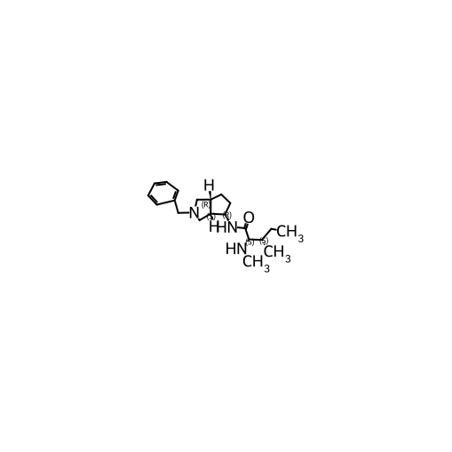 CC[C@H](C)[C@H](NC)C(=O)N[C@@H]1CC[C@H]2CN(Cc3ccccc3)C[C@H]21